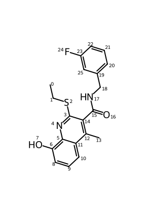 CCSc1nc2c(O)cccc2c(C)c1C(=O)NCc1cccc(F)c1